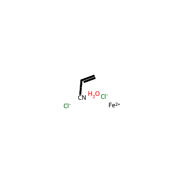 C=CC#N.O.[Cl-].[Cl-].[Fe+2]